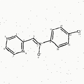 [O-][N+](=Cc1cnccn1)c1ccc(Cl)cc1